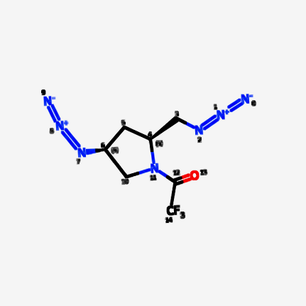 [N-]=[N+]=NC[C@@H]1C[C@H](N=[N+]=[N-])CN1C(=O)C(F)(F)F